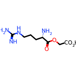 N=C(N)NCCC[C@H](N)C(=O)OCC(=O)O